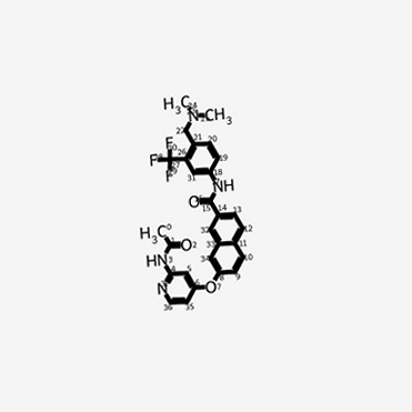 CC(=O)Nc1cc(Oc2ccc3ccc(C(=O)Nc4ccc(CN(C)C)c(C(F)(F)F)c4)cc3c2)ccn1